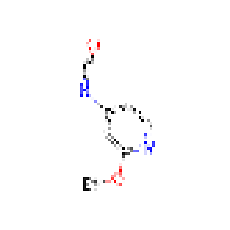 CCOc1cc(N=C=O)ccn1